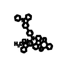 CC1(C)c2ccccc2-c2ccc(N(c3ccc(-c4ccc5c(c4)c4ccccc4n5-c4ccccc4)cc3)c3cccc4c3-c3ccccc3C43c4ccccc4-c4ccccc4-c4ccccc43)cc21